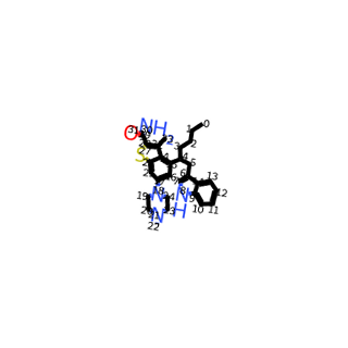 CCCCC(Cc1c[nH]c2ccccc12)c1cc(N2CCN(C)CC2)cc2sc(C(N)=O)c(C)c12